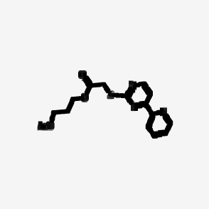 CC(=O)OCCCOC(=O)CSc1nccc(-c2ccccn2)n1